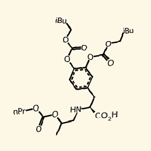 CCCOC(=O)OC(C)CN[C@@H](Cc1ccc(OC(=O)OCC(C)CC)c(OC(=O)OCC(C)CC)c1)C(=O)O